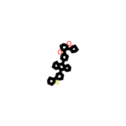 c1ccc2c(c1)oc1ccc3oc4cc(-c5c6ccccc6c(-c6ccc7sc8ccccc8c7c6)c6ccccc56)ccc4c3c12